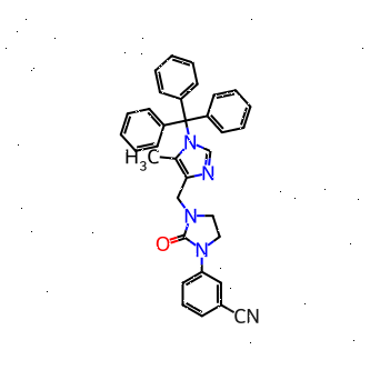 Cc1c(CN2CCN(c3cccc(C#N)c3)C2=O)ncn1C(c1ccccc1)(c1ccccc1)c1ccccc1